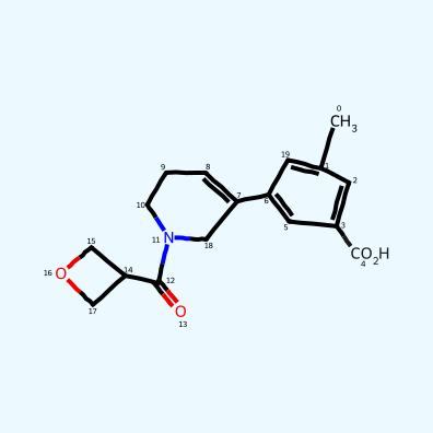 Cc1cc(C(=O)O)cc(C2=CCCN(C(=O)C3COC3)C2)c1